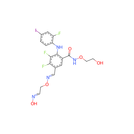 O=C(NOCCO)c1cc(C=NOC/C=N/O)c(F)c(F)c1Nc1ccc(I)cc1F